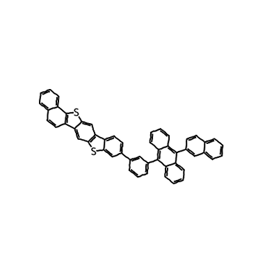 c1cc(-c2ccc3c(c2)sc2cc4c(cc23)sc2c3ccccc3ccc42)cc(-c2c3ccccc3c(-c3ccc4ccccc4c3)c3ccccc23)c1